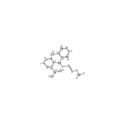 CN(C)CC=CCN(c1ccccc1[N+](=O)[O-])c1nccnc1Cl